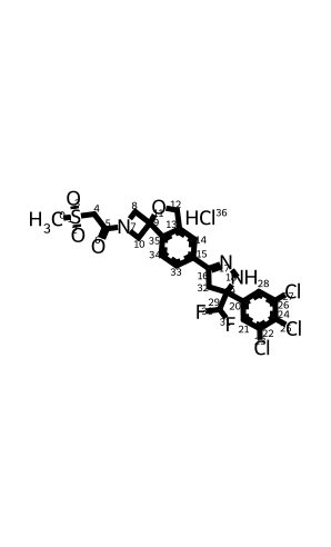 CS(=O)(=O)CC(=O)N1CC2(C1)OCc1cc(C3=NNC(c4cc(Cl)c(Cl)c(Cl)c4)(C(F)F)C3)ccc12.Cl